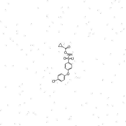 O=C(ONS(=O)(=O)c1ccc(Oc2ccc(Cl)cc2)cc1)C1CC1